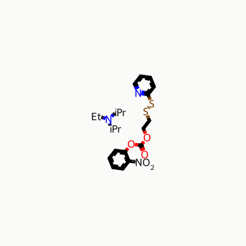 CCN(C(C)C)C(C)C.O=C(OCCSSc1ccccn1)Oc1ccccc1[N+](=O)[O-]